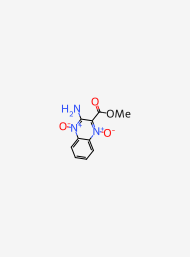 COC(=O)c1c(N)[n+]([O-])c2ccccc2[n+]1[O-]